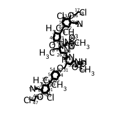 CC(Oc1ccc(C(C)(C)c2cc(Cl)c(OCCCl)c(C#N)c2)cc1)c1cc(-c2nc(COc3ccc(C(C)(C)c4cc(Cl)c(OCCCl)c(C#N)c4)cc3)cc(NS(C)(=O)=O)n2)nc(NS(C)(=O)=O)n1